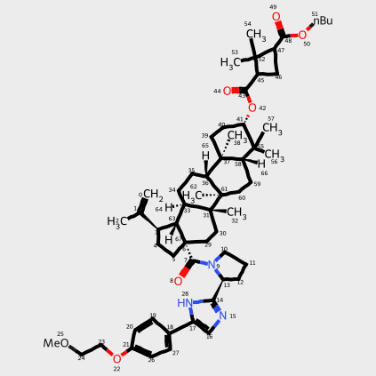 C=C(C)[C@@H]1CC[C@]2(C(=O)N3CCC[C@H]3c3ncc(-c4ccc(OCCOC)cc4)[nH]3)CC[C@]3(C)[C@H](CC[C@@H]4[C@@]5(C)CC[C@H](OC(=O)C6CC(C(=O)OCCCC)C6(C)C)C(C)(C)[C@@H]5CC[C@]43C)[C@@H]12